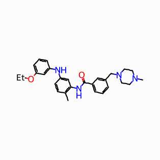 CCOc1cccc(Nc2ccc(C)c(NC(=O)c3cccc(CN4CCN(C)CC4)c3)c2)c1